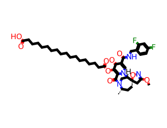 COC1=NO[C@@]2(CC[C@H](C)N3C[C@H]2n2cc(C(=O)NCc4ccc(F)cc4F)c(=O)c(OC(=O)CCCCCCCCCCCCCCCCC(=O)O)c2C3=O)C1